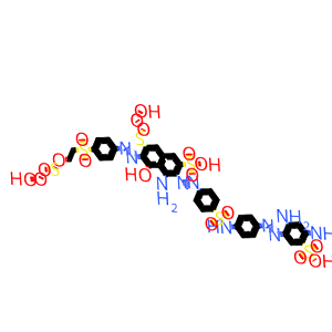 Nc1cc(N)c(S(=O)(=O)O)cc1/N=N/c1ccc(NS(=O)(=O)c2ccc(/N=N/c3c(S(=O)(=O)O)cc4cc(SOOO)c(/N=N/c5ccc(S(=O)(=O)CCOSOOO)cc5)c(O)c4c3N)cc2)cc1